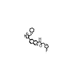 Cn1ncc(-c2ccc3cnc(NC(=O)CN4CCC(F)C4)cc3c2)c1CN1CCCCC1